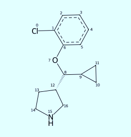 Clc1ccccc1OC(C1CC1)[C@H]1CCNC1